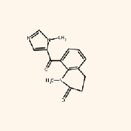 CN1C(=O)CCc2cccc(C(=O)c3cncn3C)c21